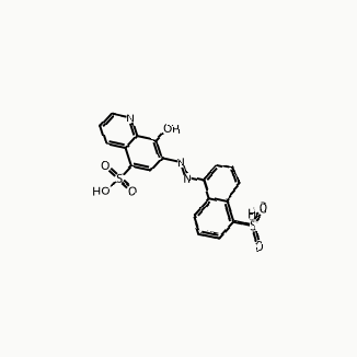 O=[SH](=O)c1cccc2c(N=Nc3cc(S(=O)(=O)O)c4cccnc4c3O)cccc12